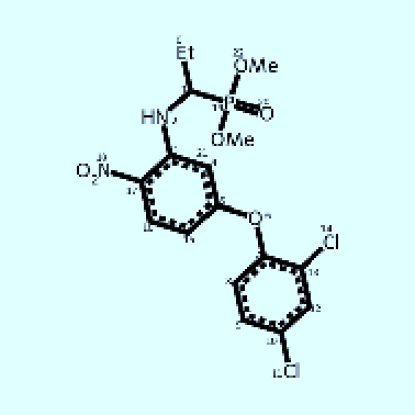 CCC(Nc1cc(Oc2ccc(Cl)cc2Cl)ccc1[N+](=O)[O-])P(=O)(OC)OC